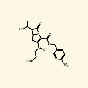 CC(=O)NCC[S+]([O-])C1=C(C(=O)OCc2ccc([N+](=O)[O-])cc2)N2C(=O)C(C(C)O)C2C1